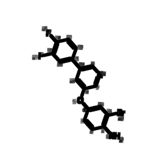 Nc1ccc(Oc2cncc(-c3ccc(F)c(F)c3)c2)cc1Br